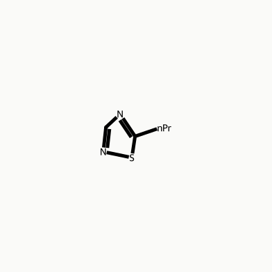 CCCc1ncns1